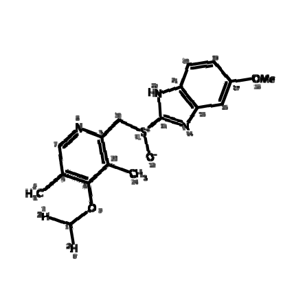 [2H]C([2H])Oc1c(C)cnc(C[S+]([O-])c2nc3cc(OC)ccc3[nH]2)c1C